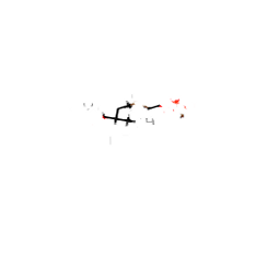 CCC(C)(CC(C)(C(=O)OC)C(C)(C)CC)SCCOS(C)(=O)=O